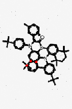 Cc1ccc2oc3c(c2c1)N(c1ccc(C(C)(C)C)cc1)c1cc(C(C)(C)C)cc2c1B3c1ccc3c(c1N2c1ccc(C(C)(C)C)cc1-c1ccccc1)C(C)(C)CCC3(C)C